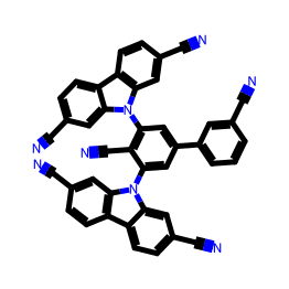 N#Cc1cccc(-c2cc(-n3c4cc(C#N)ccc4c4ccc(C#N)cc43)c(C#N)c(-n3c4cc(C#N)ccc4c4ccc(C#N)cc43)c2)c1